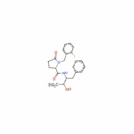 CCOC(=O)C(O)C(Cc1ccccc1)NC(=O)C1CCC(=O)N1Cc1ccccc1F